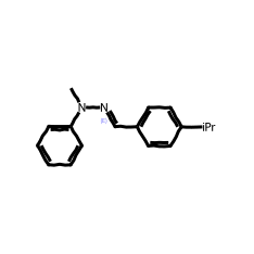 CC(C)c1ccc(/C=N/N(C)c2ccccc2)cc1